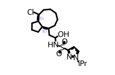 CC(C)n1ccc(S(=O)(=O)NC(O)C/C2=C3\CCC\C3=C(/Cl)CCCCC2)n1